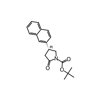 CC(C)(C)OC(=O)N1C[C@@H](c2ccc3ccccc3c2)CC1=O